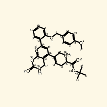 COc1ccc(COc2ccccc2-c2cc(C3=CCC(C(=O)OC(C)(C)C)NC3)c3c(n2)OC(=O)NC3)cc1